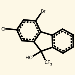 OC1(C(F)(F)F)c2ccccc2-c2c(Br)cc(Cl)cc21